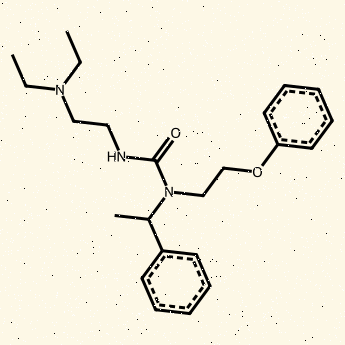 CCN(CC)CCNC(=O)N(CCOc1ccccc1)C(C)c1ccccc1